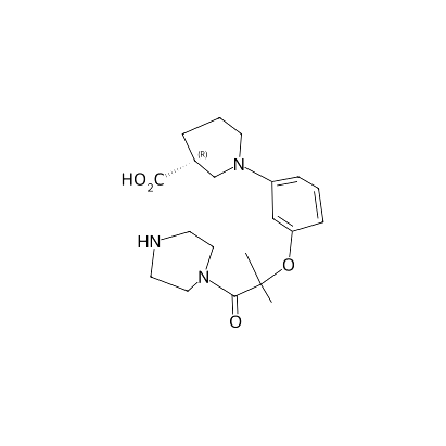 CC(C)(Oc1cccc(N2CCC[C@@H](C(=O)O)C2)c1)C(=O)N1CCNCC1